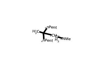 CCCCCC(C)(C)CCCCC.CNC